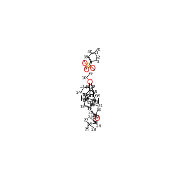 Cc1ccc(S(=O)(=O)OCCO[C@H]2CC[C@H]3[C@@H]4CC=C5C[C@@H](O[Si](C)(C)C(C)(C)C)CC[C@]5(C)[C@H]4CC[C@]23C)cc1